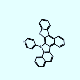 c1ccc2c(c1)ccc1c3c4ccccc4c4c5ccccc5sc4c3n(-c3ccncc3)c21